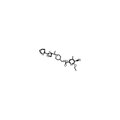 CCOc1nc(C(=O)NCC2CCN(C(C)c3cnc(-c4ccccn4)s3)CC2)cc(C)c1C#N